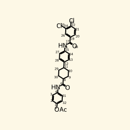 CC(=O)Oc1ccc(NC(=O)C2CCC(c3ccc(NC(=O)c4ccc(Cl)c(Cl)c4)cc3)CC2)cc1